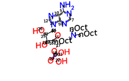 CCCCCCCCN(CCCCCCCC)CCCCCCCC.Nc1ncnc2c1ncn2[C@@H]1O[C@H](COP(=O)(O)O)[C@@H](O)[C@H]1O